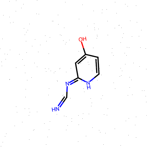 N=C/N=c1/cc(O)cc[nH]1